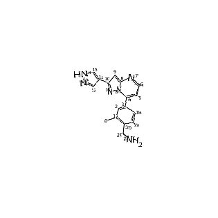 Cc1cc(-c2ccnc3cc(-c4cn[nH]c4)nn23)ccc1CN